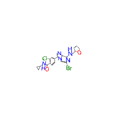 O=C(NC1CC1)c1ccc(-c2cnc3c(NCC4CCCO4)nc(Br)cn23)cc1Cl